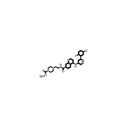 CC(C)(C)OC(=O)N1CCN(CCNC(=O)c2ccc3c(Nc4cnnc(-c5cc(Cl)ccc5F)c4)ccnc3c2)CC1